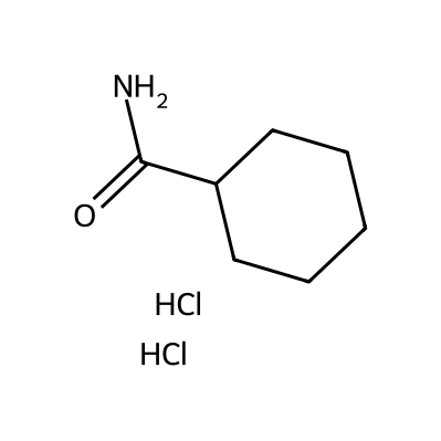 Cl.Cl.NC(=O)C1CCCCC1